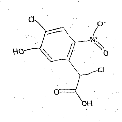 O=C(O)C(Cl)c1cc(O)c(Cl)cc1[N+](=O)[O-]